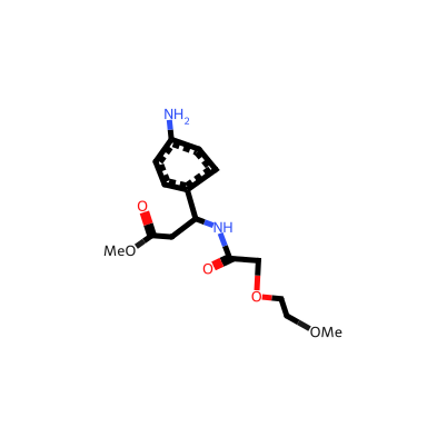 COCCOCC(=O)NC(CC(=O)OC)c1ccc(N)cc1